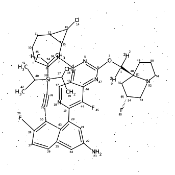 [2H]C([2H])(Oc1nc(N2CCCCC3C(Cl)C32)c2cnc(-c3cc(N)cc4ccc(F)c(C#C[Si](C(C)C)(C(C)C)C(C)C)c34)c(F)c2n1)[C@@]12CCCN1C[C@H](F)C2